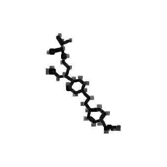 C=C(C)C(=O)OCCC(CO)C1CCC(CCc2ccc(CCCCC)cc2)CO1